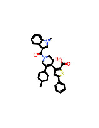 CC1CCC(C2=C(c3cc(-c4ccccc4)sc3C(=O)O)CCN(C(=O)c3cn(C)c4ccccc34)C2)CC1